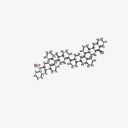 Brc1c2ccccc2cc2c1ccc1c(-c3c4ccccc4cc4c3ccc3c(-c5cccc6c5ccc5c(-c7cccc8c7ccc7c(Br)c9ccccc9cc78)c7ccccc7cc56)cccc34)cccc12